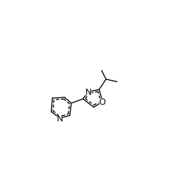 CC(C)c1nc(-c2cccnc2)co1